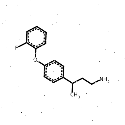 CC(CCN)c1ccc(Oc2ccccc2F)cc1